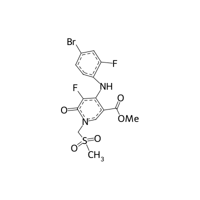 COC(=O)c1cn(CS(C)(=O)=O)c(=O)c(F)c1Nc1ccc(Br)cc1F